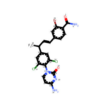 NC(=O)c1ccc(/C=C/C(c2cc(Cl)c(-n3ccc(N)nc3=O)c(Cl)c2)C(F)(F)F)cc1Br